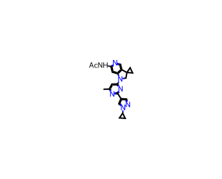 CC(=O)Nc1cc2c(cn1)C1(CC1)CN2c1cc(C)nc(-c2cnn(C3CC3)c2)n1